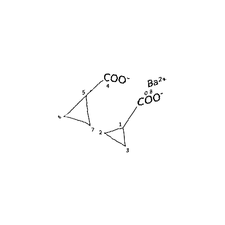 O=C([O-])C1CC1.O=C([O-])C1CC1.[Ba+2]